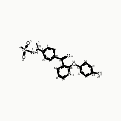 C[C@H](NS(C)(=O)=O)c1ccc(C(=O)c2cccnc2Oc2ccc(Cl)cc2)cc1